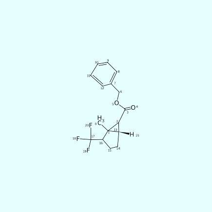 CC12C(C(=O)OCc3ccccc3)[C@@H]1CCC2C(F)(F)F